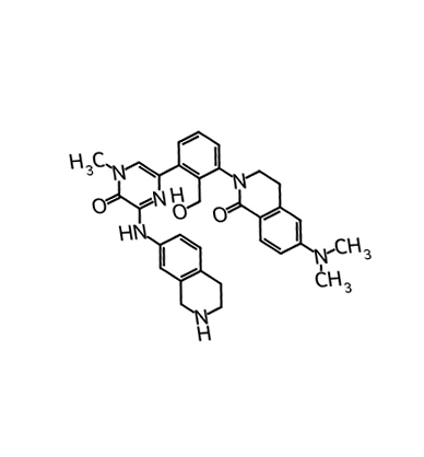 CN(C)c1ccc2c(c1)CCN(c1cccc(-c3cn(C)c(=O)c(Nc4ccc5c(c4)CNCC5)n3)c1CO)C2=O